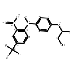 CC(CO)Oc1ccc(N(C)c2ccc(C(F)(F)F)cc2[N+](=O)[O-])cc1